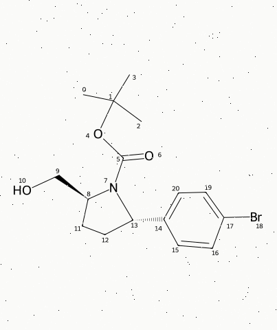 CC(C)(C)OC(=O)N1[C@H](CO)CC[C@H]1c1ccc(Br)cc1